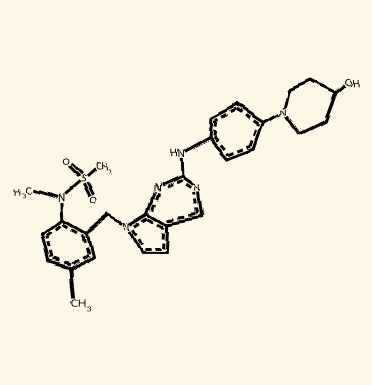 Cc1ccc(N(C)S(C)(=O)=O)c(Cn2ccc3cnc(Nc4ccc(N5CCC(O)CC5)cc4)nc32)c1